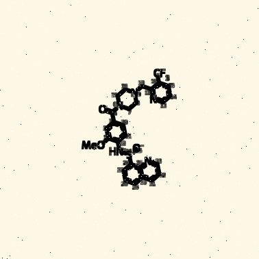 COc1cc(C(=O)N2CCN(Cc3ncccc3C(F)(F)F)CC2)ccc1N[S+]([O-])c1cccc2cccnc12